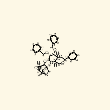 c1ccc(CO[C@@H]2[C@@H](OCc3ccccc3)[C@H](O[C@H]3[C@@H]4O[C@@H]4[C@@H]4OC[C@H]3O4)O[C@@H]3COC(c4ccccc4)O[C@@H]23)cc1